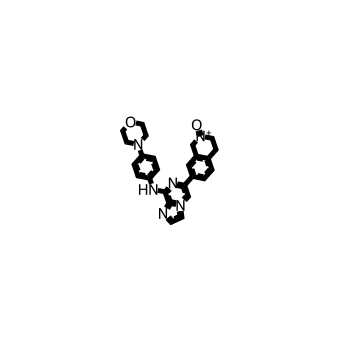 O=[N+]1CCc2ccc(-c3cn4ccnc4c(Nc4ccc(N5CCOCC5)cc4)n3)cc2C1